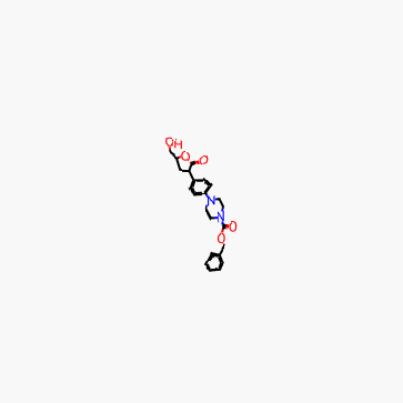 O=C1OC(CO)CC1c1ccc(N2CCN(C(=O)OCc3ccccc3)CC2)cc1